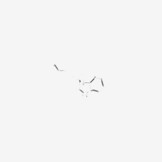 C=CCSSn1cnc2ccccc21